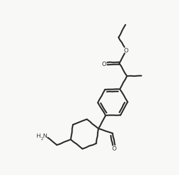 CCOC(=O)C(C)c1ccc(C2(C=O)CCC(CN)CC2)cc1